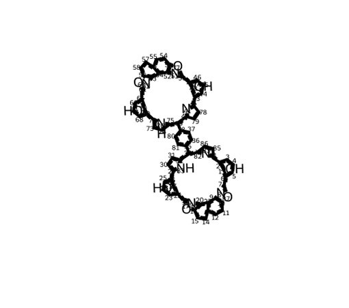 Oc1c2cccc1c1nc3c(ccc4ccc5oc(nc5c43)c3cccc(c3O)c3ccc([nH]3)c(-c3ccc(-c4c5nc(c6cccc(c6O)c6nc7c(ccc8ccc9oc(nc9c87)c7cccc(c7O)c7ccc4[nH]7)o6)C=C5)cc3)c3nc2C=C3)o1